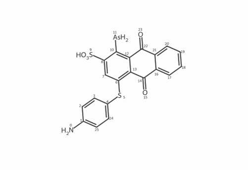 Nc1ccc(Sc2cc(S(=O)(=O)O)c([AsH2])c3c2C(=O)c2ccccc2C3=O)cc1